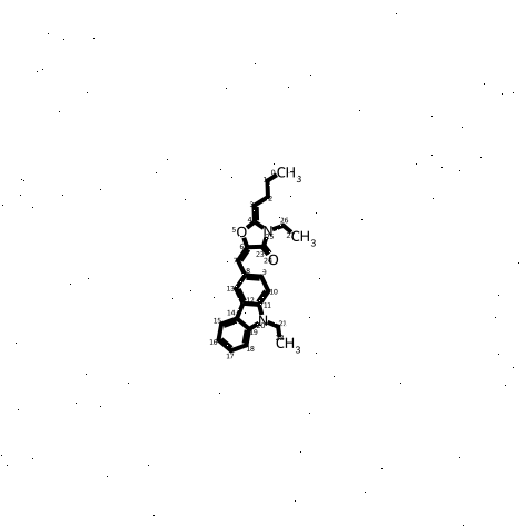 CCC/C=c1/o/c(=C/c2ccc3c(c2)c2ccccc2n3CC)c(=O)n1CC